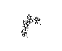 Cc1[nH]ncc1-c1cnc(Nc2ccc(N3CCN(C)CC3)cc2)c2nccn12